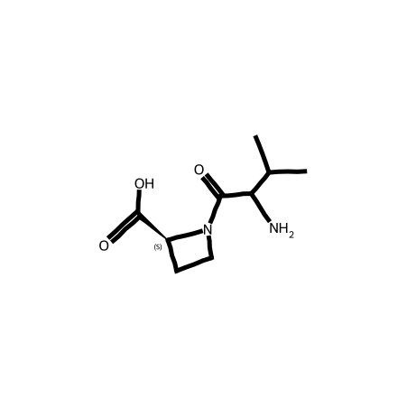 CC(C)C(N)C(=O)N1CC[C@H]1C(=O)O